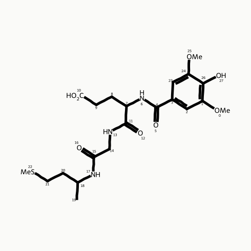 COc1cc(C(=O)NC(CCC(=O)O)C(=O)NCC(=O)NC(C)CCSC)cc(OC)c1O